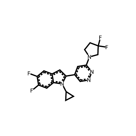 Fc1cc2cc(-c3cnnc(N4CCC(F)(F)C4)c3)n(C3CC3)c2cc1F